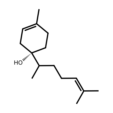 CC(C)=CCCC(C)[C@@]1(O)CC=C(C)CC1